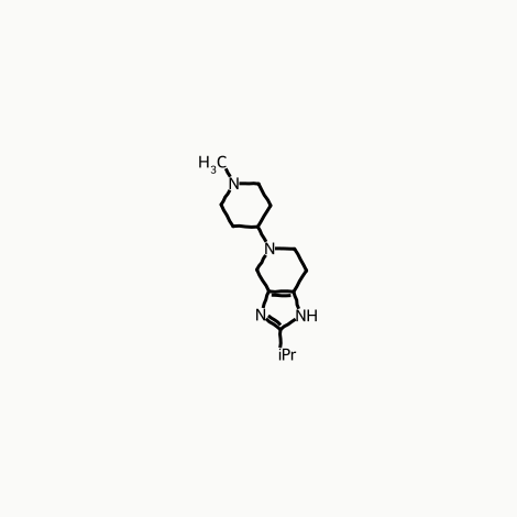 CC(C)c1nc2c([nH]1)CCN(C1CCN(C)CC1)C2